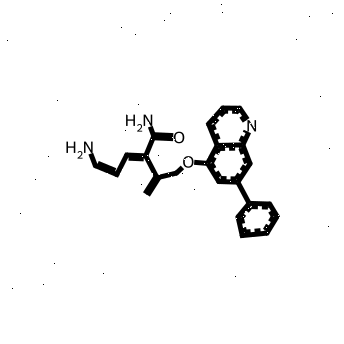 C=C(COc1cc(-c2ccccc2)cc2ncccc12)/C(=C\C=C/N)C(N)=O